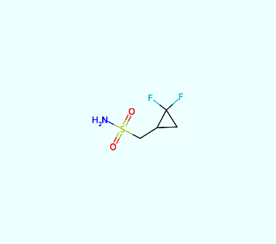 NS(=O)(=O)CC1CC1(F)F